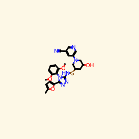 COc1cccc(OC)c1-n1c(NSC2CC(O)CN(c3cncc(C#N)c3)C2)nnc1-c1ccc(C)o1